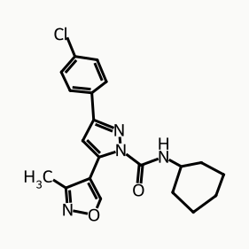 Cc1nocc1-c1cc(-c2ccc(Cl)cc2)nn1C(=O)NC1CCCCC1